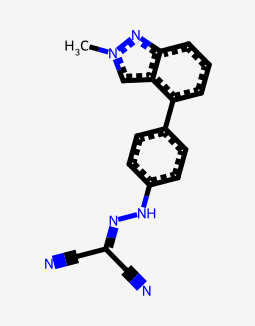 Cn1cc2c(-c3ccc(NN=C(C#N)C#N)cc3)cccc2n1